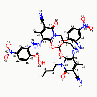 CCCCn1c(OC2Oc3ccc([N+](=O)[O-])cc3/N=N/c3c(C)c(C#N)c(=O)n(CCCC)c3O2)c(/N=N/c2cc([N+](=O)[O-])ccc2OO)c(C)c(C#N)c1=O